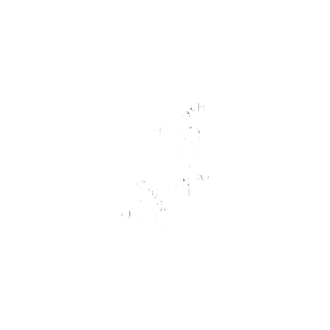 COc1ccc(/C=C2\Sc3ccc(S(=O)(=O)Cc4c(Cl)cccc4Cl)cc3NC2=O)cc1C